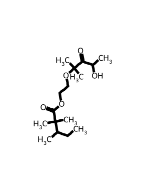 CCC(C)C(C)(C)C(=O)OCCOC(C)(C)C(=O)C(C)O